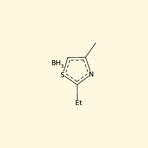 B.CCc1nc(C)cs1